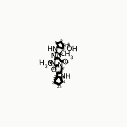 Cn1c(NC2CC[C@H](CO)C2)nc2c1c(=O)n(Cc1cc3ccccc3[nH]1)c(=O)n2C